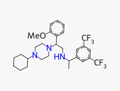 COc1ccccc1C(CNC(C)c1cc(C(F)(F)F)cc(C(F)(F)F)c1)N1CCN(C2CCCCC2)CC1